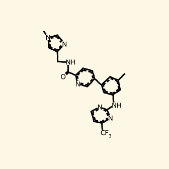 Cc1cc(Nc2nccc(C(F)(F)F)n2)cc(-c2ccc(C(=O)NCc3cn(C)cn3)nc2)c1